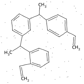 C=Cc1ccc(C(C)c2cccc(C(C)c3ccccc3C=C)c2)cc1